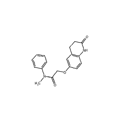 CN(C(=O)COc1ccc2c(c1)CCC(=O)N2)c1ccccc1